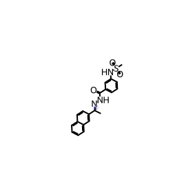 C/C(=N\NC(=O)c1cccc(NS(C)(=O)=O)c1)c1ccc2ccccc2c1